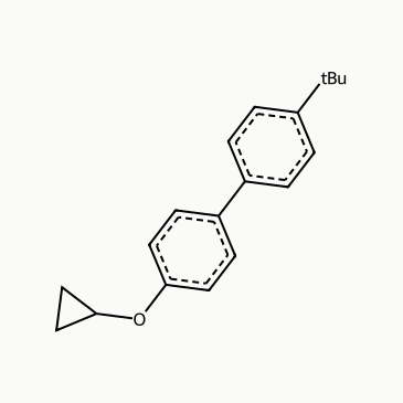 CC(C)(C)c1ccc(-c2ccc(OC3CC3)cc2)cc1